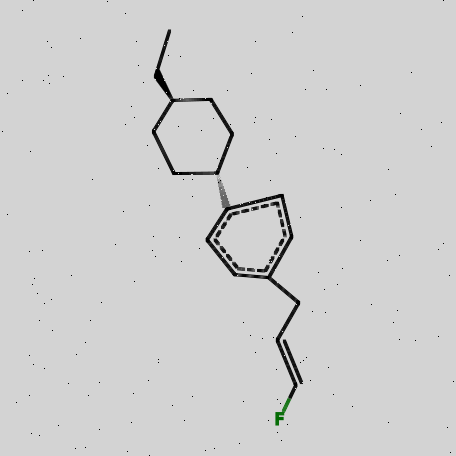 CC[C@H]1CC[C@H](c2ccc(CC=CF)cc2)CC1